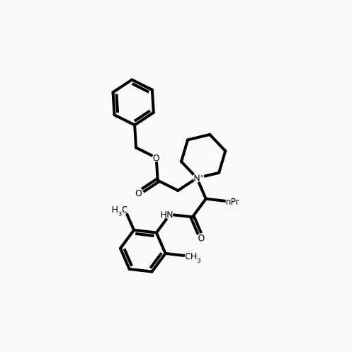 CCCC(C(=O)Nc1c(C)cccc1C)[N+]1(CC(=O)OCc2ccccc2)CCCCC1